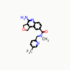 CN(Cc1ccc(C(F)(F)F)cn1)C(=O)c1ccc2nc(N)c3c(c2c1)COC3